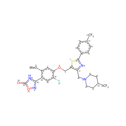 COc1cc(OCc2sc(-c3ccc(C(F)(F)F)cc3)nc2CN2CCC(C(F)(F)F)CC2)c(F)cc1-c1noc(=O)[nH]1